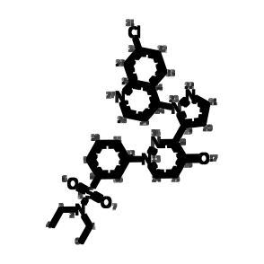 CCN(CC)S(=O)(=O)c1cccc(-n2ccc(=O)c(-c3ccnn3-c3ccnc4cc(Cl)ccc34)n2)c1